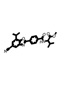 COC(=O)C(NC(=O)c1ccc(-c2nc3cc(C#N)cc(C(C)C)c3o2)cc1)C(C)C